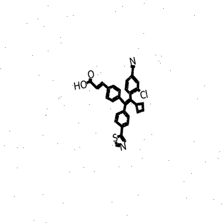 N#Cc1ccc(/C(=C(\c2ccc(/C=C/C(=O)O)cc2)c2ccc(-c3cncs3)cc2)C2CCC2)c(Cl)c1